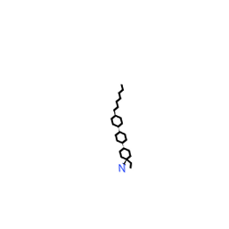 CCCCCCC[C@H]1CC[C@H](C2CCC([C@H]3CC[C@@](C#N)(CC)CC3)CC2)CC1